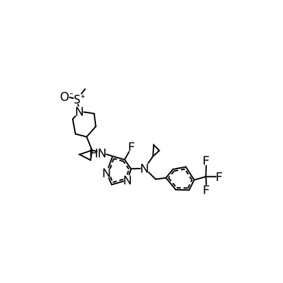 C[S+]([O-])N1CCC(C2(Nc3ncnc(N(Cc4ccc(C(F)(F)F)cc4)C4CC4)c3F)CC2)CC1